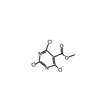 COC(=O)c1c(Cl)nc(Cl)nc1Cl